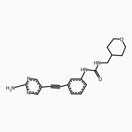 Nc1ncc(C#Cc2cccc(NC(=O)NCC3CCOCC3)c2)cn1